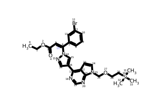 CCOC(=O)/C=C(/c1cccc(Br)c1)n1cc(-c2ncnc3c2ccn3COCC[Si](C)(C)C)cn1